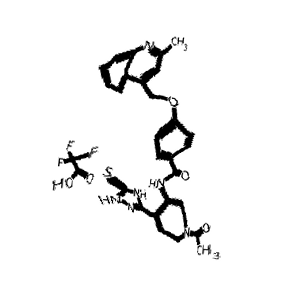 CC(=O)N1CCC(c2n[nH]c(=S)[nH]2)C(NC(=O)c2ccc(OCc3cc(C)nc4ccccc34)cc2)C1.O=C(O)C(F)(F)F